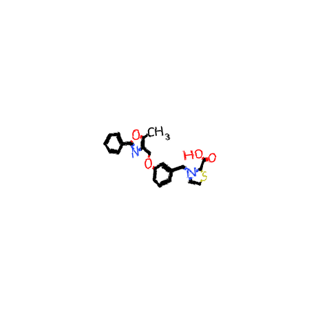 Cc1oc(-c2ccccc2)nc1COc1cccc(CN2CCSC2C(=O)O)c1